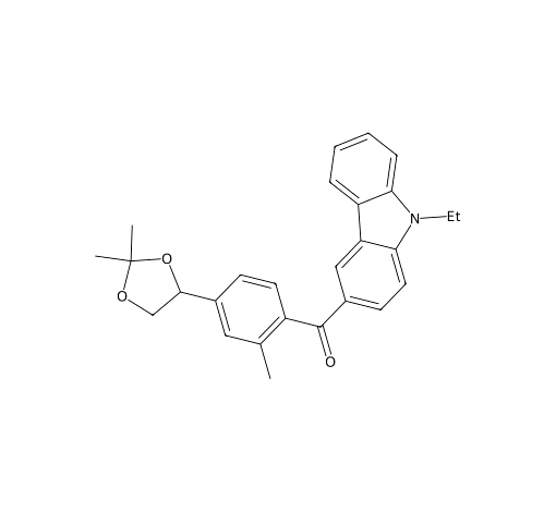 CCn1c2ccccc2c2cc(C(=O)c3ccc(C4COC(C)(C)O4)cc3C)ccc21